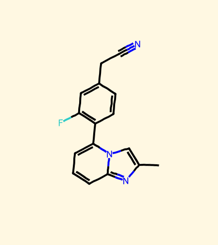 Cc1cn2c(-c3ccc(CC#N)cc3F)cccc2n1